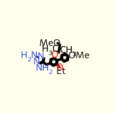 CCOc1cc(Cc2cnc(N)nc2N)cc(OCC(C)(C)COC)c1-c1ccc(OC)cc1